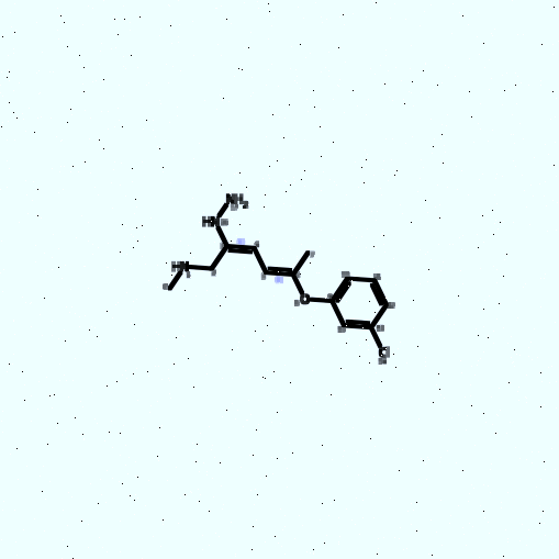 CNC/C(=C\C=C(/C)Oc1cccc(Cl)c1)NN